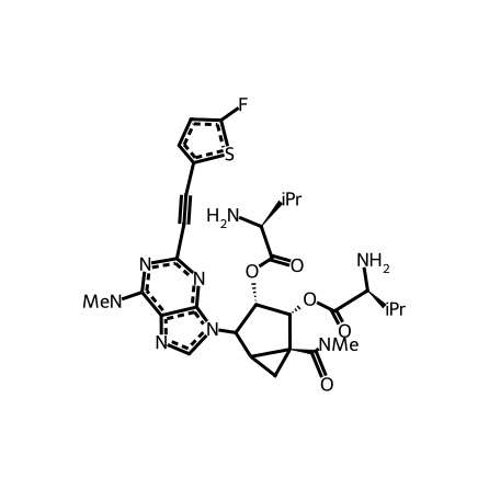 CNC(=O)[C@@]12CC1C(n1cnc3c(NC)nc(C#Cc4ccc(F)s4)nc31)[C@H](OC(=O)[C@@H](N)C(C)C)[C@@H]2OC(=O)[C@@H](N)C(C)C